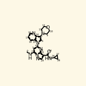 CNc1cc(-n2cc(N3CCOCC3)c3ncccc32)nc2c(C(=O)NC3CC3)cnn12